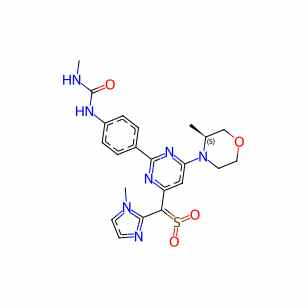 CNC(=O)Nc1ccc(-c2nc(C(c3nccn3C)=S(=O)=O)cc(N3CCOC[C@@H]3C)n2)cc1